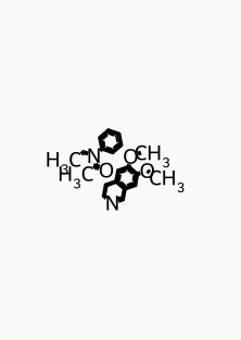 CCN(C(C)=O)c1ccccc1.COc1cc2c(cc1OC)CCN=C2